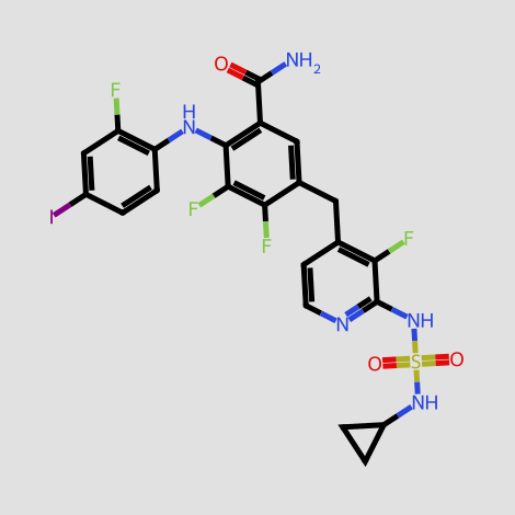 NC(=O)c1cc(Cc2ccnc(NS(=O)(=O)NC3CC3)c2F)c(F)c(F)c1Nc1ccc(I)cc1F